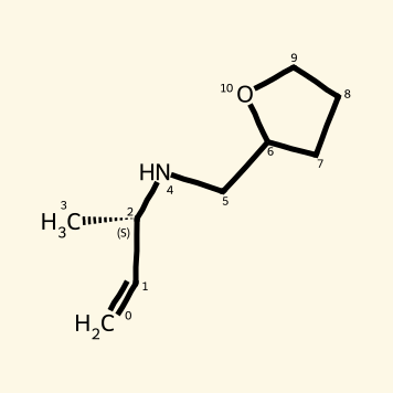 C=C[C@H](C)NCC1CCCO1